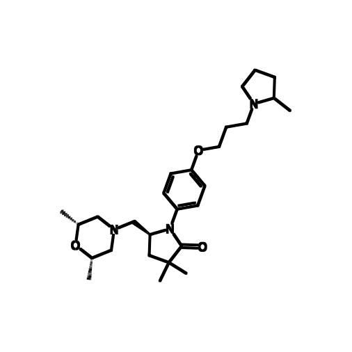 CC1CCCN1CCCOc1ccc(N2C(=O)C(C)(C)C[C@H]2CN2C[C@@H](C)O[C@@H](C)C2)cc1